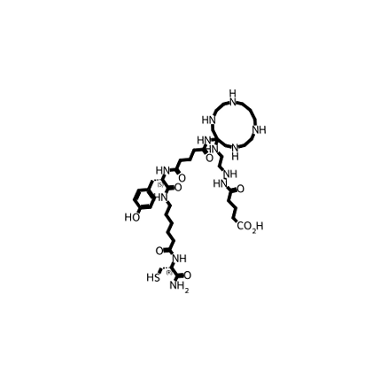 NC(=O)[C@H](CS)NC(=O)CCCCCNC(=O)[C@H](Cc1ccc(O)cc1)NC(=O)CCCC(=O)NC1(NCCNNC(=O)CCCC(=O)O)CNCCNCCCNCCNC1